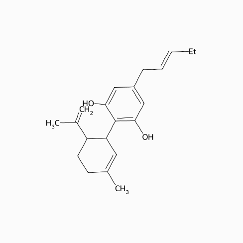 C=C(C)C1CCC(C)=CC1c1c(O)cc(C/C=C/CC)cc1O